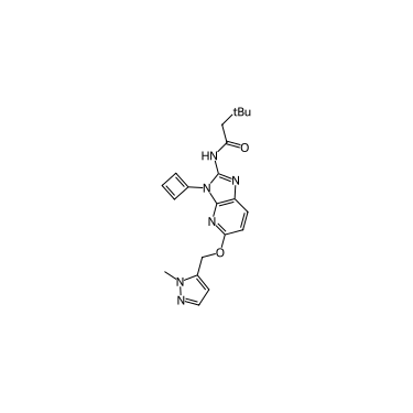 Cn1nccc1COc1ccc2nc(NC(=O)CC(C)(C)C)n(C3=CC=C3)c2n1